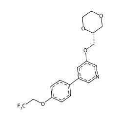 FC(F)(F)COc1ccc(-c2cncc(OC[C@H]3COCCO3)c2)cc1